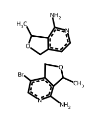 CC1OCc2c(Br)cnc(N)c21.CC1OCc2ccnc(N)c21